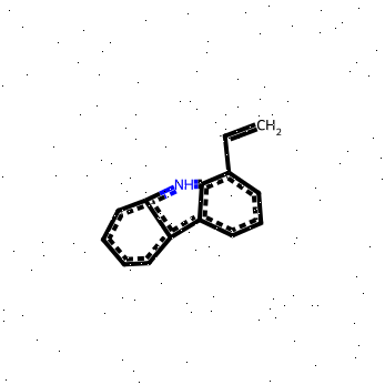 C=[C]c1cccc2c1[nH]c1ccccc12